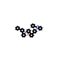 c1ccc(-c2ccc3c(c2)c2ccccc2n3-c2cccc3c2oc2cccc(-c4ccc(-n5c(-c6ccccc6)nc6ccccc65)cc4)c23)cc1